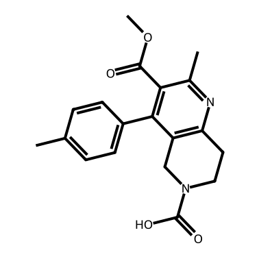 COC(=O)c1c(C)nc2c(c1-c1ccc(C)cc1)CN(C(=O)O)CC2